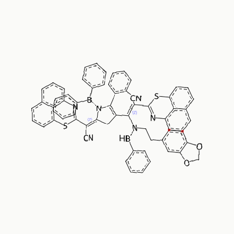 Cc1ccccc1C1=C(/C(=C(\C#N)C2=Nc3cccc4cccc(c34)S2)N(Bc2ccccc2)CCc2ccc3c(c2)OCO3)C/C(=C(\C#N)C2=Nc3cccc4cccc(c34)S2)N1B(c1ccccc1)c1ccccc1